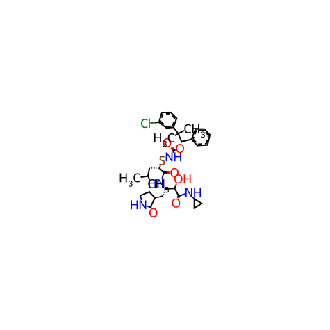 CC(C)C[C@H](SNC(=O)O[C@@H](c1ccccc1)C(C)(C)c1cccc(Cl)c1)C(=O)N[C@@H](C[C@@H]1CCNC1=O)C(O)C(=O)NC1CC1